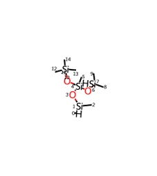 C[SiH](C)O[Si](C)(O[SiH](C)C)O[Si](C)(C)C